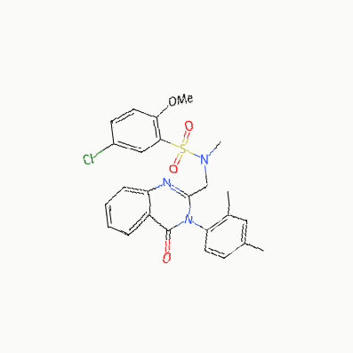 COc1ccc(Cl)cc1S(=O)(=O)N(C)Cc1nc2ccccc2c(=O)n1-c1ccc(C)cc1C